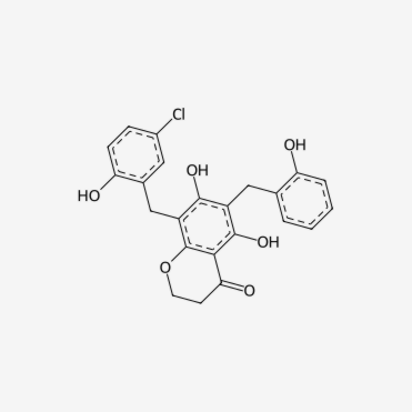 O=C1CCOc2c(Cc3cc(Cl)ccc3O)c(O)c(Cc3ccccc3O)c(O)c21